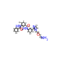 Cc1ccc(C(=O)Nc2cccc(-c3nccn3CCOCCN)c2)cc1NC(=O)c1ccccc1